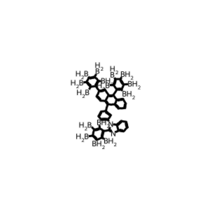 Bc1c(B)c(B)c(-c2ccc3c(-c4cccc(-n5c(-c6c(B)c(B)c(B)c(B)c6B)nc6ccccc65)c4)c4ccccc4c(-c4c(B)c(B)c(B)c(B)c4B)c3c2)c(B)c1B